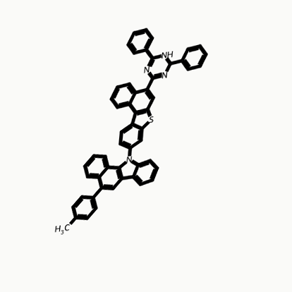 Cc1ccc(-c2cc3c4ccccc4n(-c4ccc5c(c4)sc4cc(C6=NC(c7ccccc7)NC(c7ccccc7)=N6)c6ccccc6c45)c3c3ccccc23)cc1